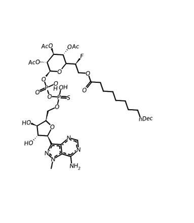 CCCCCCCCCCCCCCCCCC(=O)OC[C@H](F)C1O[C@@H](OP(=O)(O)OP(O)(=S)OC[C@H]2O[C@@H](c3nn(C)c4c(N)ncnc34)[C@H](O)[C@H]2O)[C@H](OC(C)=O)[C@@H](OC(C)=O)[C@@H]1OC(C)=O